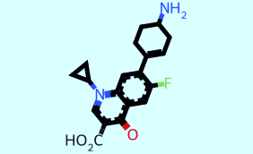 NC1CC=C(c2cc3c(cc2F)c(=O)c(C(=O)O)cn3C2CC2)CC1